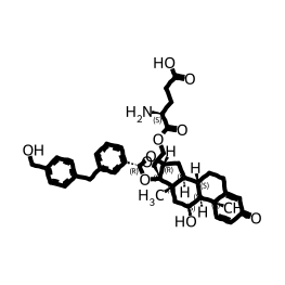 C[C@]12C=CC(=O)C=C1CC[C@@H]1[C@@H]2[C@@H](O)C[C@@]2(C)[C@H]1C[C@H]1O[C@@H](c3cccc(Cc4ccc(CO)cc4)c3)O[C@]12C(=O)COC(=O)[C@@H](N)CCC(=O)O